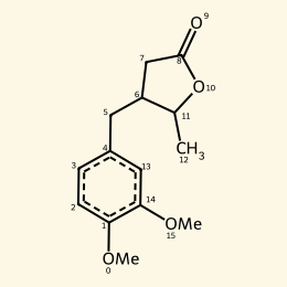 COc1ccc(CC2CC(=O)OC2C)cc1OC